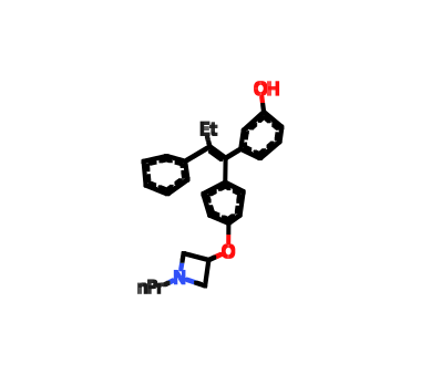 CCCN1CC(Oc2ccc(/C(=C(/CC)c3ccccc3)c3cccc(O)c3)cc2)C1